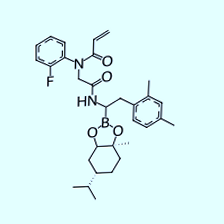 C=CC(=O)N(CC(=O)NC(Cc1ccc(C)cc1C)B1OC2C[C@@H](C(C)C)CC[C@]2(C)O1)c1ccccc1F